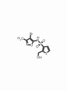 Cc1noc(NS(=O)(=O)c2ccsc2CO)c1Br